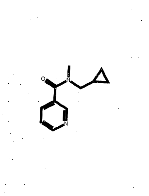 CN(CC1CC1)C(=O)c1cccnc1